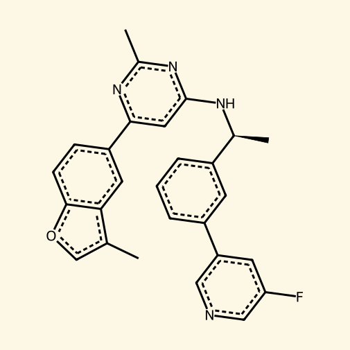 Cc1nc(N[C@@H](C)c2cccc(-c3cncc(F)c3)c2)cc(-c2ccc3occ(C)c3c2)n1